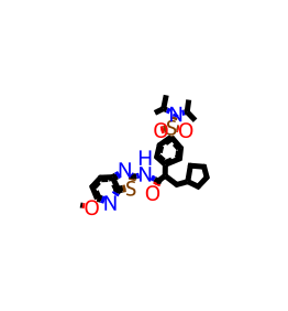 COc1ccc2nc(NC(=O)C(CC3CCCC3)c3ccc(S(=O)(=O)N(C(C)C)C(C)C)cc3)sc2n1